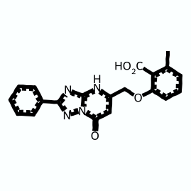 Cc1cccc(OCc2cc(=O)n3nc(-c4ccccc4)nc3[nH]2)c1C(=O)O